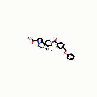 CC(=O)c1ccc2n1CCN(C)C21CCN(C(=O)c2ccc(COc3ccccc3)cc2)CC1